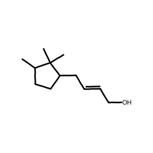 CC1CCC(CC=CCO)C1(C)C